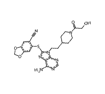 N#Cc1cc2c(cc1Sc1nc3c(N)ncnc3n1CCC1CCN(C(=O)CO)CC1)OCO2